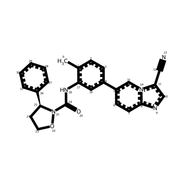 Cc1ccc(-c2ccc3ncc(C#N)n3c2)cc1NC(=O)N1OCC[C@H]1c1ccccc1